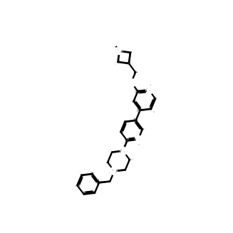 CN1CC(COc2cc(-c3ccc(N4CCN(Cc5ccccc5)CC4)nc3)ccn2)C1